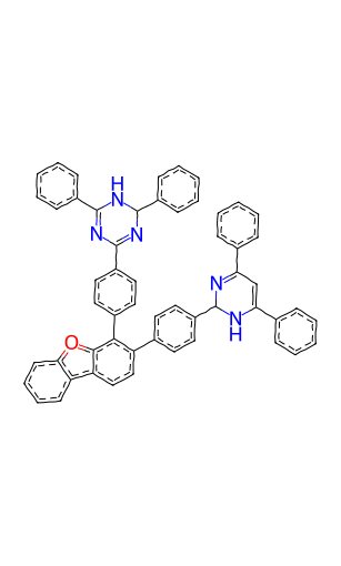 C1=C(c2ccccc2)NC(c2ccc(-c3ccc4c(oc5ccccc54)c3-c3ccc(C4=NC(c5ccccc5)NC(c5ccccc5)=N4)cc3)cc2)N=C1c1ccccc1